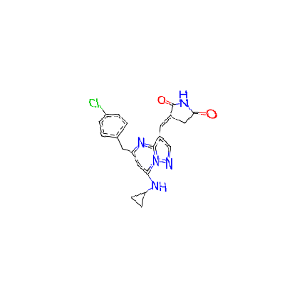 O=C1C/C(=C\c2cnn3c(NC4CC4)cc(Cc4ccc(Cl)cc4)nc23)C(=O)N1